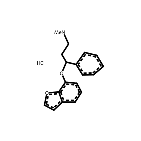 CNCCC(Oc1cccc2ccoc12)c1ccccc1.Cl